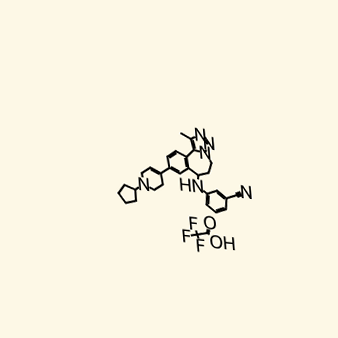 Cc1nnn2c1-c1ccc(C3=CCN(C4CCCC4)CC3)cc1C(Nc1cccc(C#N)c1)CC2.O=C(O)C(F)(F)F